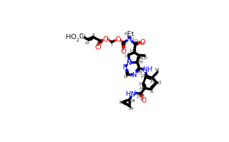 CCN(C(=O)OCOC(=O)/C=C/C(=O)O)C(=O)C1CN2N=CN=C(Nc3cc(C(=O)NC4CC4)ccc3C)C2=C1C